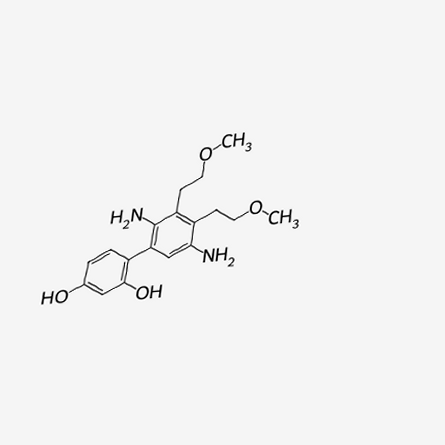 COCCc1c(N)cc(-c2ccc(O)cc2O)c(N)c1CCOC